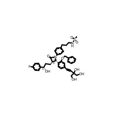 CS(=O)(=O)NCCCc1ccc(N2C(=O)[C@H](CC[C@H](O)c3ccc(F)cc3)[C@H]2c2ccc(C#CC(O)(CO)CO)cc2OCc2ccccc2)cc1